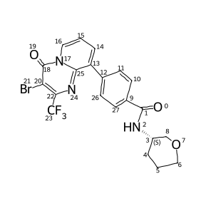 O=C(N[C@H]1CCCOC1)c1ccc(-c2cccn3c(=O)c(Br)c(C(F)(F)F)nc23)cc1